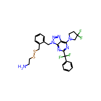 NCCSSCc1ccccc1Cn1nnc2c(N3CCC(F)(F)C3)nc(C(F)(F)c3ccccc3)nc21